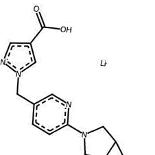 O=C(O)c1cnn(Cc2ccc(N3CC4CC4C3)nc2)c1.[Li]